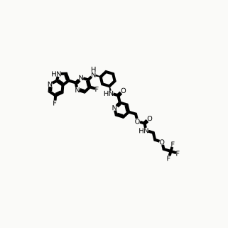 O=C(NCCOCC(F)(F)F)OCc1ccnc(C(=O)N[C@@H]2CCC[C@H](Nc3nc(-c4c[nH]c5ncc(F)cc45)ncc3F)C2)c1